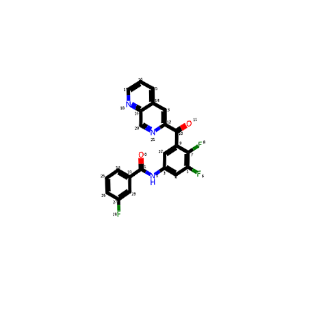 O=C(Nc1cc(F)c(F)c(C(=O)c2cc3cccnc3cn2)c1)c1cccc(F)c1